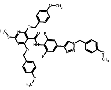 COc1ccc(COc2nc(SC)nc(OCc3ccc(OC)cc3)c2C(=O)Nc2c(F)cc(-c3cn(Cc4ccc(OC)cc4)nn3)cc2F)cc1